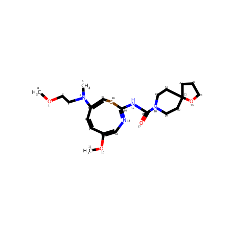 COCCN(C)c1ccc(OC)cnc(NC(=O)N2CCC3(CCCO3)CC2)sc1